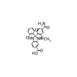 COc1cc(C(N)=O)ccc1C1(c2c(Cl)cccc2Cl)Nc2ccc(C(=O)O)cc2N1